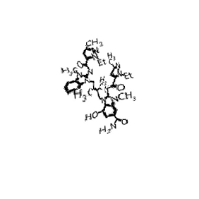 CCn1nc(C)cc1C(=O)/N=c1\n(C)c2ccccc2n1C/C(C)=C(\C)Cn1/c(=N/C(=O)c2cc(C)nn2CC)n(C)c2cc(C(N)=O)cc(O)c21